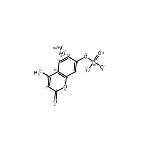 Cc1cc(=O)oc2cc(OP(=O)([O-])[O-])ccc12.[Ag+].[Ag+]